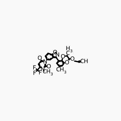 C#CCOC(=O)C(C)Oc1ccc(C)cc1-c1noc2ccc(-n3c(=O)cc(C(F)(F)F)n(C)c3=O)cc12